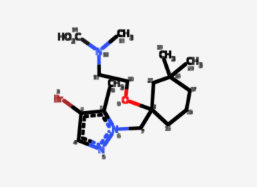 Cc1c(Br)cnn1CC1(OCCN(C)C(=O)O)CCCC(C)(C)C1